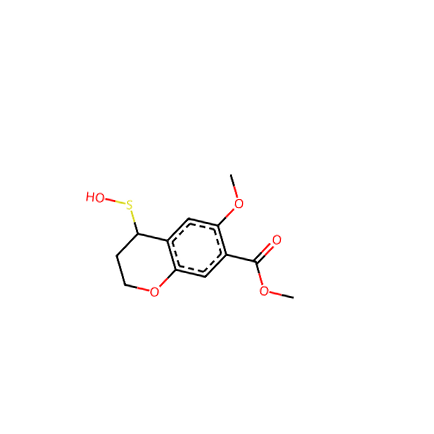 COC(=O)c1cc2c(cc1OC)C(SO)CCO2